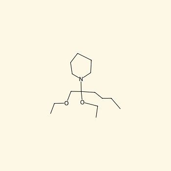 CCCCC(COCC)(OCC)N1CCCCC1